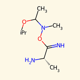 CC(C)OC(C)N(C)OC(=N)[C@H](C)N